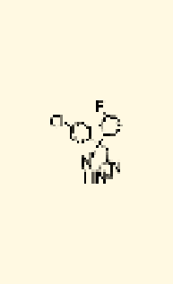 N#CC(Cc1c[nH]cn1)(c1ccc(Cl)cc1)c1cccc(F)c1